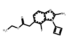 CCOC(=O)Cc1ccc2nc(N)n(C3=CC=C3)c2c1F